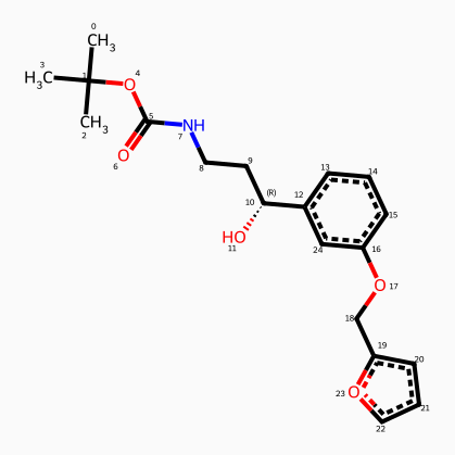 CC(C)(C)OC(=O)NCC[C@@H](O)c1cccc(OCc2ccco2)c1